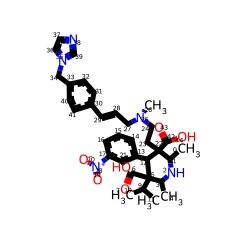 CC1NC(C)C(C(=O)O)(C(C)C)C(c2cccc([N+](=O)[O-])c2)C1(CCN(C)CC=Cc1ccc(Cn2ccnc2)cc1)C(=O)O